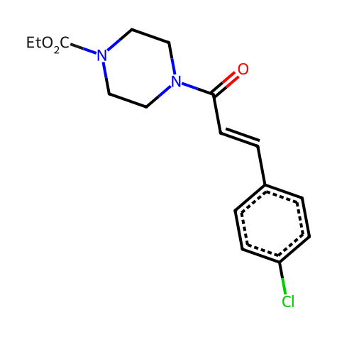 CCOC(=O)N1CCN(C(=O)/C=C/c2ccc(Cl)cc2)CC1